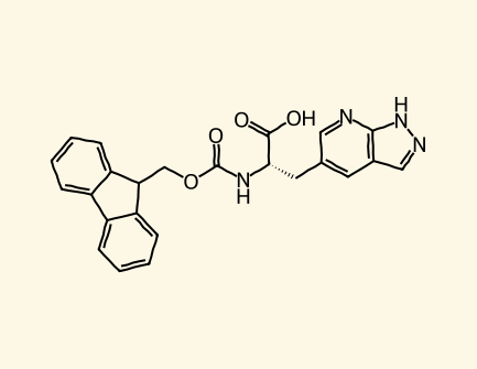 O=C(N[C@@H](Cc1cnc2[nH]ncc2c1)C(=O)O)OCC1c2ccccc2-c2ccccc21